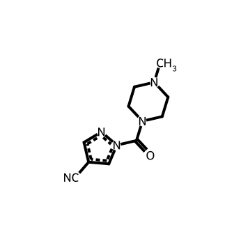 CN1CCN(C(=O)n2cc(C#N)cn2)CC1